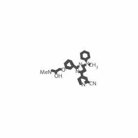 CNCC(O)COc1cccc(-c2nc(-c3ccnc(C#N)c3)cc(N(C)C3CCCCC3)n2)c1